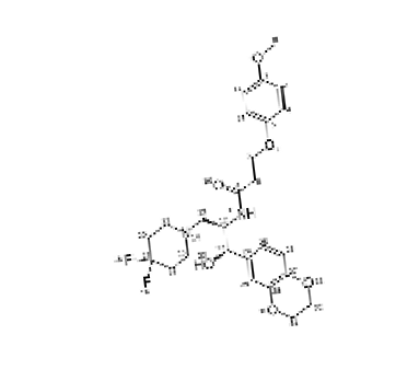 COc1ccc(OCCC(=O)N[C@H](CN2CCC(F)(F)CC2)[C@H](O)c2ccc3c(c2)OCCO3)cc1